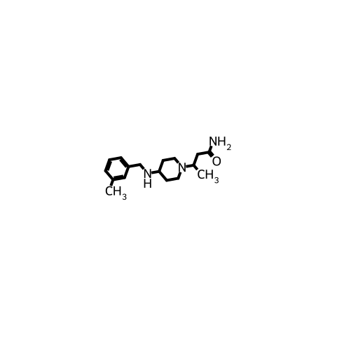 Cc1cccc(CNC2CCN(C(C)CC(N)=O)CC2)c1